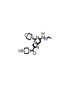 C/C=N/Nc1cc2nc(C(=O)N3CCNCC3)cn2c(N2CCOCC2)n1